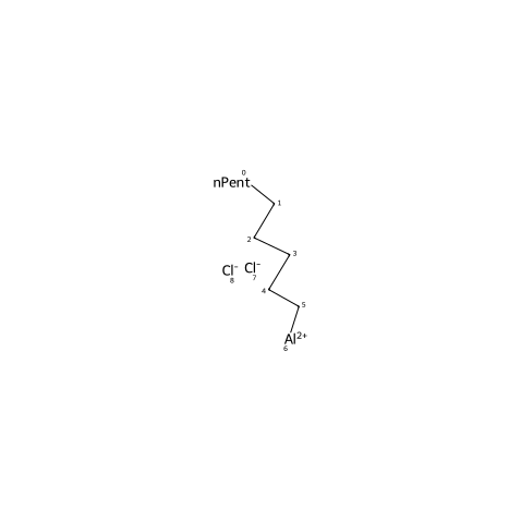 CCCCCCCCC[CH2][Al+2].[Cl-].[Cl-]